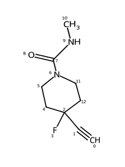 C#CC1(F)CCN(C(=O)NC)CC1